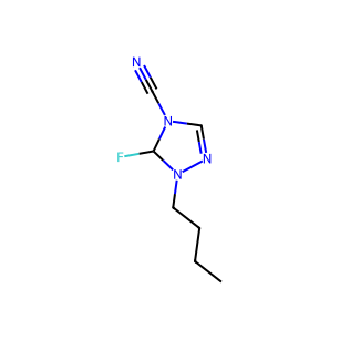 CCCCN1N=CN(C#N)C1F